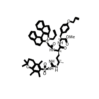 C=CCOc1ccc(C[C@H](NC(=O)[C@@H](CC[C@H](C)NC(=N)NS(=O)(=O)c2c(C)c(C)c3c(c2C)CCC(C)(C)O3)NC(=O)COc2ccc3ccccc3c2-c2c(OCC=C)ccc3ccccc23)C(=O)OC)cc1